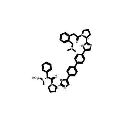 CN(C)Cc1ccccc1CC(=O)N1CCC[C@H]1c1ncc(-c2ccc(-c3ccc(-c4cnc([C@@H]5CCCN5C(=O)[C@@H](c5ccccc5)N(C)C(=O)O)[nH]4)cc3)cc2)[nH]1